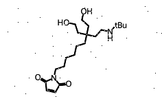 CC(C)(C)NCCC(CCO)(CCO)CCCCCCN1C(=O)C=CC1=O